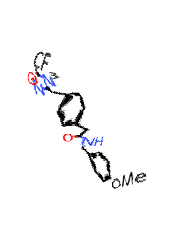 COc1ccc(CNC(=O)Cc2ccc(-c3noc(C(F)(F)F)n3)cc2)cc1